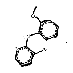 COc1ccccc1Nc1ncccc1Br